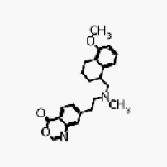 COc1cccc2c1CCCC2CN(C)CCc1ccc2c(=O)ocnc2c1